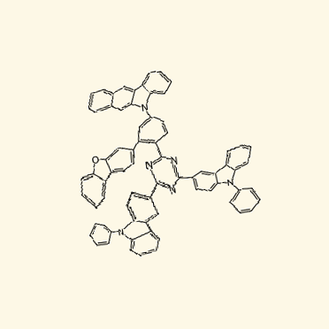 c1ccc(-n2c3ccccc3c3cc(-c4nc(-c5ccc6c(c5)c5ccccc5n6-c5ccccc5)nc(-c5ccc(-n6c7ccccc7c7cc8ccccc8cc76)cc5-c5ccc6c(c5)oc5ccccc56)n4)ccc32)cc1